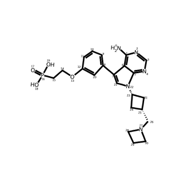 Nc1ncnc2c1c(-c1cccc(OCCP(=O)(O)O)c1)cn2[C@H]1C[C@@H](CN2CCC2)C1